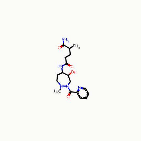 CC(C[CH]C(=O)NC1CCN(C)N(C(=O)c2ccccn2)CC1O)C(N)=O